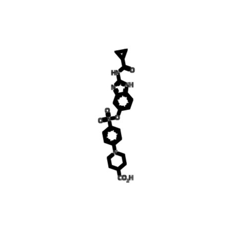 O=C(O)C1CCN(c2ccc(S(=O)(=O)Oc3ccc4[nH]c(NC(=O)C5CC5)nc4c3)cc2)CC1